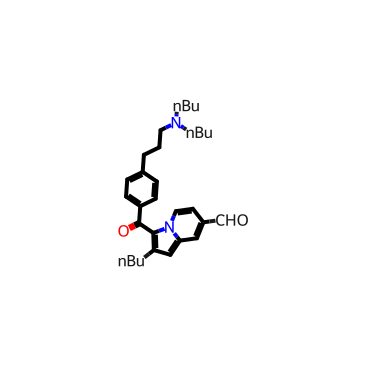 CCCCc1cc2cc(C=O)ccn2c1C(=O)c1ccc(CCCN(CCCC)CCCC)cc1